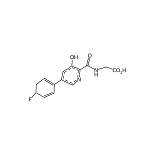 O=C(O)CNC(=O)c1ncc(C2=CCC(F)C=C2)cc1O